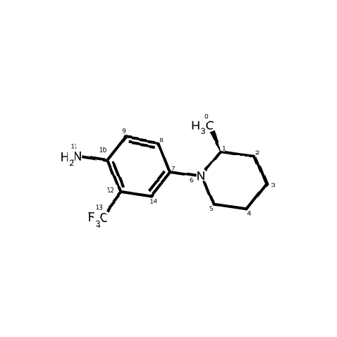 C[C@H]1CCCCN1c1ccc(N)c(C(F)(F)F)c1